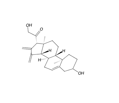 C=C1C(=C)[C@H]2[C@@H]3CC=C4CC(O)CC[C@]4(C)[C@H]3CC[C@]2(C)[C@H]1C(=O)CO